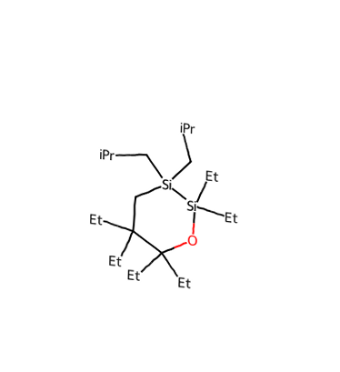 CCC1(CC)C[Si](CC(C)C)(CC(C)C)[Si](CC)(CC)OC1(CC)CC